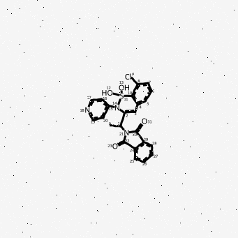 CC(C1=Cc2cccc(Cl)c2S(O)(O)N1c1ccncc1)N1C(=O)c2ccccc2C1=O